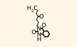 C=CCC(=O)CCCn1c(=O)[nH]c2ccccc2c1=O